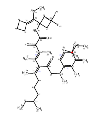 C=C(/C(C)=C(\C=C/C(C)CC)C(C)CC(=O)C(=C(/C)CCCC(C)CC)/C(C)=C(\C)C(=O)C(=O)NC1(C(NC)=C2CCC2)CC(F)(F)C1)C(C)F